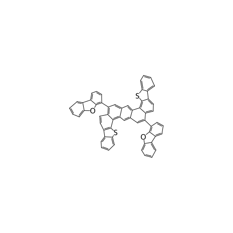 c1ccc2c(c1)oc1c(-c3cc4cc5c(cc(-c6cccc7c6oc6ccccc67)c6ccc7c8ccccc8sc7c65)cc4c4c3ccc3c5ccccc5sc34)cccc12